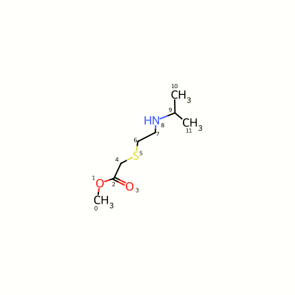 COC(=O)CSCCNC(C)C